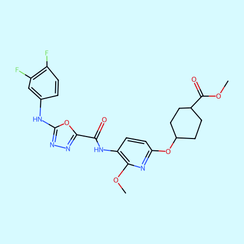 COC(=O)C1CCC(Oc2ccc(NC(=O)c3nnc(Nc4ccc(F)c(F)c4)o3)c(OC)n2)CC1